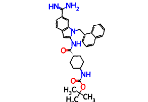 CC(C)(C)OC(=O)N[C@H]1CC[C@H](C(=O)Nc2cc3ccc(C(=N)N)cc3n2Cc2cccc3ccccc23)CC1